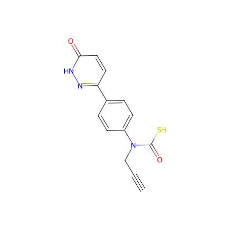 C#CCN(C(=O)S)c1ccc(-c2ccc(=O)[nH]n2)cc1